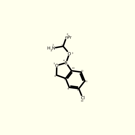 CCCC(N)OB1OCc2cc(Cl)ccc21